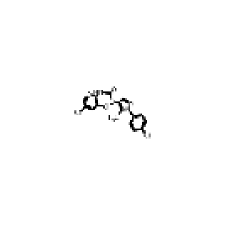 O=C(Nc1ncc(Cl)cc1Cl)Oc1cnn(-c2ccc(Cl)cc2)c1C(F)(F)F